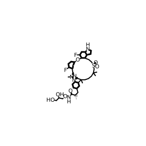 C[C@@H](Cc1cccc(C2(C)CCCC(C)(C)CS(=O)(=O)CCc3c(c(F)cc4[nH]ccc34)Oc3ccc(F)c(c3)-c3nc2nn3C)c1)C(=O)NOCC(O)CO